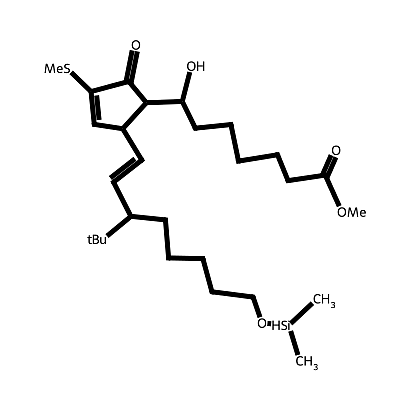 COC(=O)CCCCCC(O)C1C(=O)C(SC)=CC1C=CC(CCCCCO[SiH](C)C)C(C)(C)C